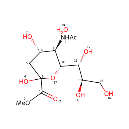 COC(=O)C1(O)C[C@H](O)[C@@H](NC(C)=O)[C@H]([C@H](O)[C@H](O)CO)O1.O